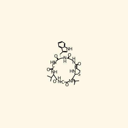 CC(C)C1NC(=O)CNC(=O)[C@H](Cc2c[nH]c3ccccc23)NC(=O)CNC(=O)[C@@H]2CSC(N2)C(C(C)C)NC(=O)CNC1=O